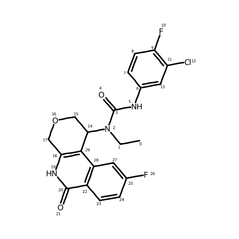 CCN(C(=O)Nc1ccc(F)c(Cl)c1)C1COCc2[nH]c(=O)c3ccc(F)cc3c21